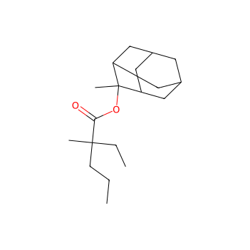 CCCC(C)(CC)C(=O)OC1(C)C2CC3CC(C2)CC1C3